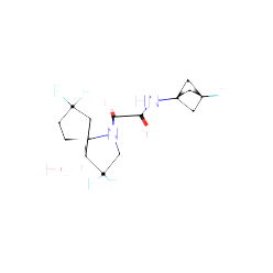 O=C(NC12CC(F)(C1)C2)C(=O)N1CC(F)(F)[C@H](O)[C@@]12CCC(F)(F)C2